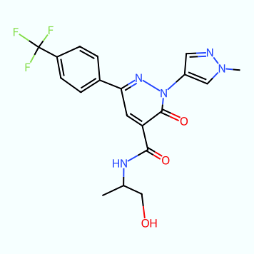 CC(CO)NC(=O)c1cc(-c2ccc(C(F)(F)F)cc2)nn(-c2cnn(C)c2)c1=O